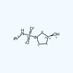 CC(C)NS(=O)(=O)N1CC[C@H](O)C1